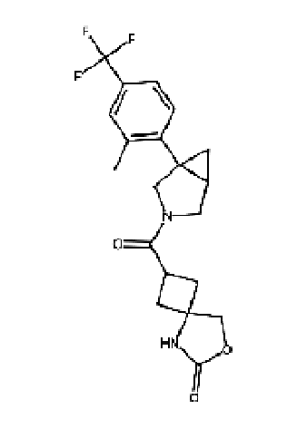 Cc1cc(C(F)(F)F)ccc1C12CC1CN(C(=O)C1CC3(COC(=O)N3)C1)C2